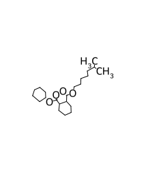 CC(C)CCCCCOC(=O)C1CCCCC1C(=O)OC1CCCCC1